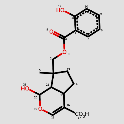 CC1(COC(=O)c2ccccc2O)CCC2C(C(=O)O)=COC(O)C21